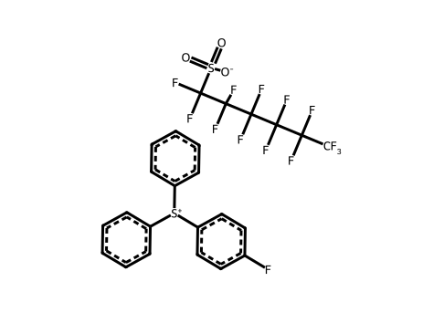 Fc1ccc([S+](c2ccccc2)c2ccccc2)cc1.O=S(=O)([O-])C(F)(F)C(F)(F)C(F)(F)C(F)(F)C(F)(F)C(F)(F)F